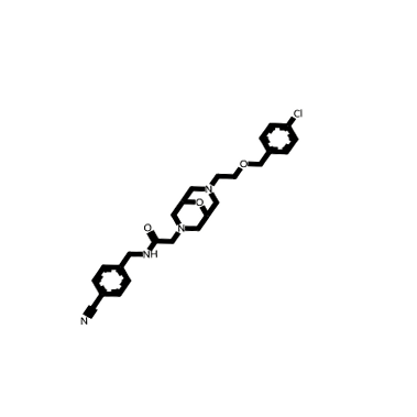 N#Cc1ccc(CNC(=O)CN2CC3CN(CCOCc4ccc(Cl)cc4)CC(C2)O3)cc1